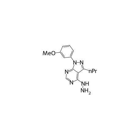 CCCc1nn(-c2cccc(OC)c2)c2ncnc(NN)c12